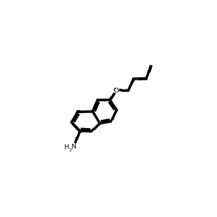 CCCCOc1ccc2cc(N)ccc2c1